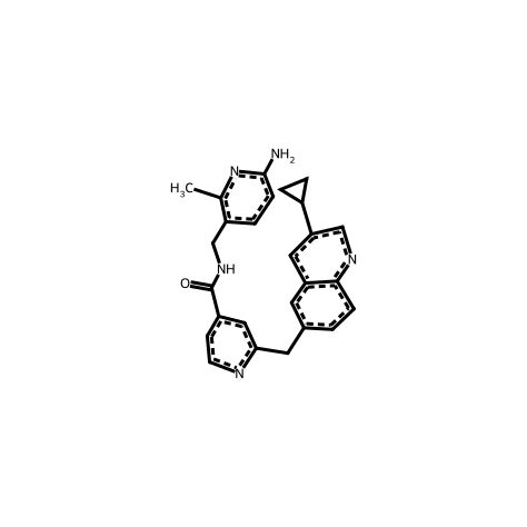 Cc1nc(N)ccc1CNC(=O)c1ccnc(Cc2ccc3ncc(C4CC4)cc3c2)c1